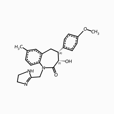 COc1ccc([C@H]2Cc3cc(C)ccc3N(CC3=NCCN3)C(=O)[C@H]2O)cc1